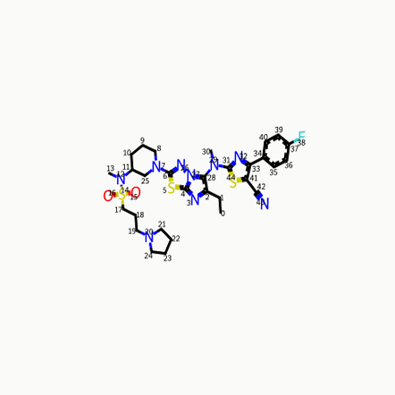 CCc1nc2sc(N3CCCC(N(C)S(=O)(=O)CCCN4CCCC4)C3)nn2c1N(C)c1nc(-c2ccc(F)cc2)c(C#N)s1